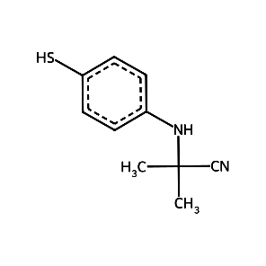 CC(C)(C#N)Nc1ccc(S)cc1